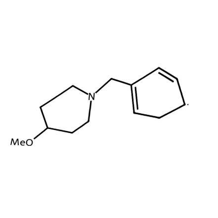 COC1CCN(CC2=CC[CH]C=C2)CC1